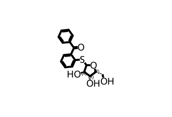 O=C(c1ccccc1)c1ccccc1SC1O[C@H](CO)[C@H](O)[C@H]1O